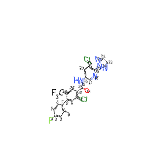 Cc1cc(F)ccc1-c1cc(Cl)c(C(=O)Nc2cnc(-n3nccn3)c(Cl)c2)cc1C(F)(F)F